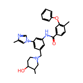 Cc1cn(-c2cc(CN3CCC(O)C(C)C3)cc(NC(=O)c3ccc(C)c(Oc4ccccc4)c3)c2)cn1